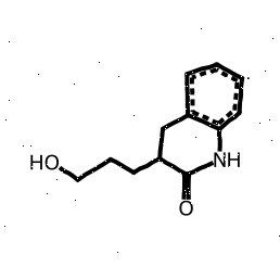 O=C1Nc2c[c]ccc2CC1CCCO